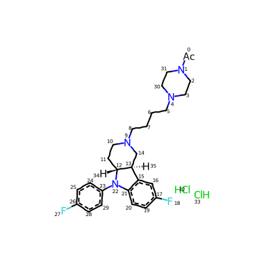 CC(=O)N1CCN(CCCCN2CC[C@@H]3[C@@H](C2)c2cc(F)ccc2N3c2ccc(F)cc2)CC1.Cl.Cl